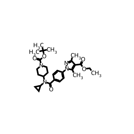 CCOC(=O)c1c(C)nn(-c2ccc(C(=O)N(C3CC3)C3CCN(C(=O)OC(C)(C)C)CC3)cc2)c1C